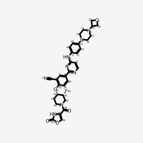 N#Cc1cc(-c2nccc(Nc3ccc(N4CCN(C5COC5)CC4)cc3)n2)ccc1O[C@H]1CCN(C(=O)c2coc(=O)[nH]2)C[C@H]1F